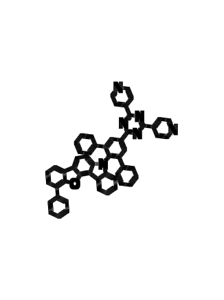 c1ccc(-c2cc(-c3nc(-c4ccncc4)nc(-c4ccncc4)n3)cc(-c3ccccc3)c2-n2c3ccccc3c3c4oc5c(-c6ccccc6)cccc5c4ccc32)cc1